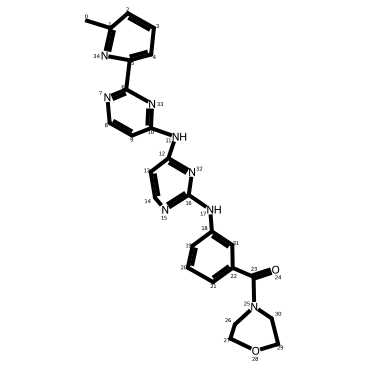 Cc1cccc(-c2nccc(Nc3ccnc(Nc4cccc(C(=O)N5CCOCC5)c4)n3)n2)n1